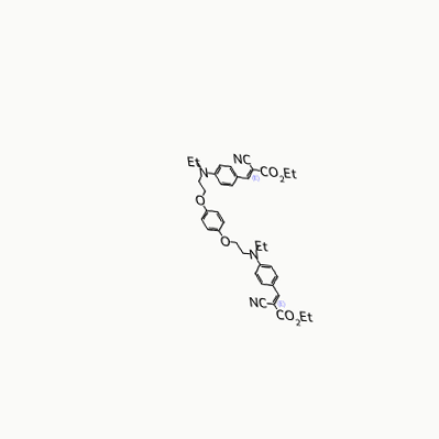 CCOC(=O)/C(C#N)=C/c1ccc(N(CC)CCOc2ccc(OCCN(CC)c3ccc(/C=C(\C#N)C(=O)OCC)cc3)cc2)cc1